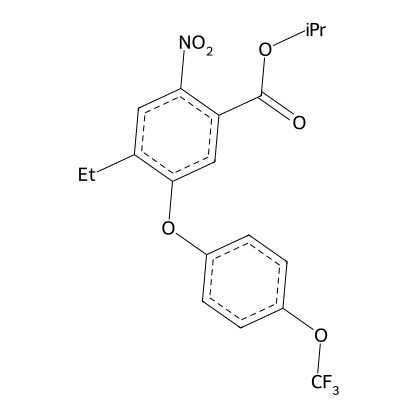 CCc1cc([N+](=O)[O-])c(C(=O)OC(C)C)cc1Oc1ccc(OC(F)(F)F)cc1